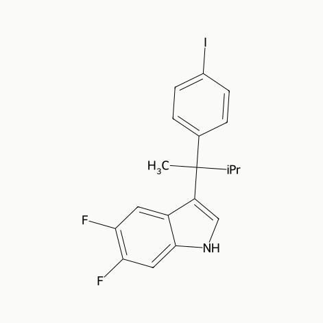 CC(C)C(C)(c1ccc(I)cc1)c1c[nH]c2cc(F)c(F)cc12